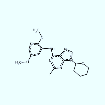 COc1ccc(OC)c(Nc2nc(I)nc3c2ncn3C2CCCCO2)c1